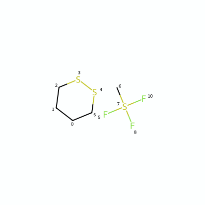 C1CCSSC1.CS(F)(F)F